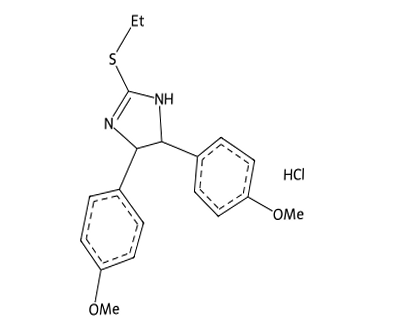 CCSC1=NC(c2ccc(OC)cc2)C(c2ccc(OC)cc2)N1.Cl